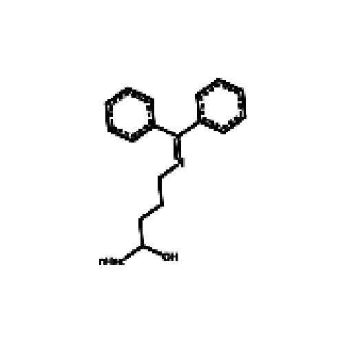 CCCCCCC(O)CCCN=C(c1ccccc1)c1ccccc1